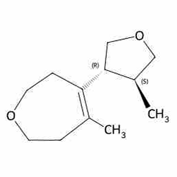 CC1=C([C@@H]2COC[C@H]2C)CCOCC1